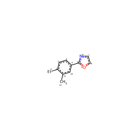 [CH2]Cc1ccc(-c2ncco2)cc1C